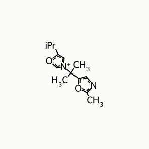 Cc1ncc(C(C)(C)[n+]2coc(C(C)C)c2)o1